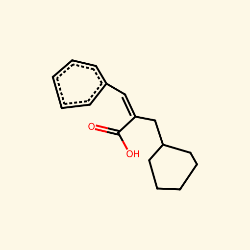 O=C(O)C(=Cc1ccccc1)CC1CCCCC1